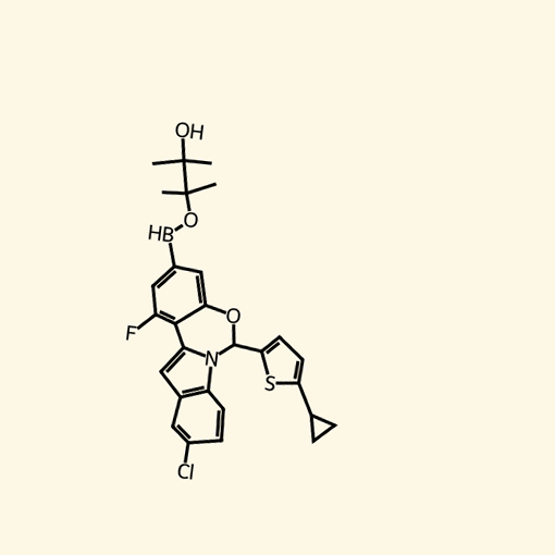 CC(C)(O)C(C)(C)OBc1cc(F)c2c(c1)OC(c1ccc(C3CC3)s1)n1c-2cc2cc(Cl)ccc21